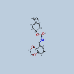 O=C(NCc1cccc2c1OCCO2)Oc1ccc([N+](=O)[O-])cc1